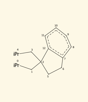 CC(C)CC1(CC(C)C)CCc2ccccc21